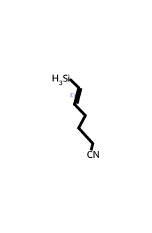 N#CCCC/C=C/[SiH3]